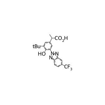 CC(C(=O)O)c1cc(-n2nc3ccc(C(F)(F)F)cc3n2)c(O)c(C(C)(C)C)c1